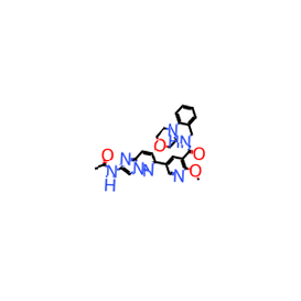 COc1ncc(-c2ccc3nc(NC(C)=O)cn3n2)cc1C(=O)NCc1ccccc1N1CCOCC1